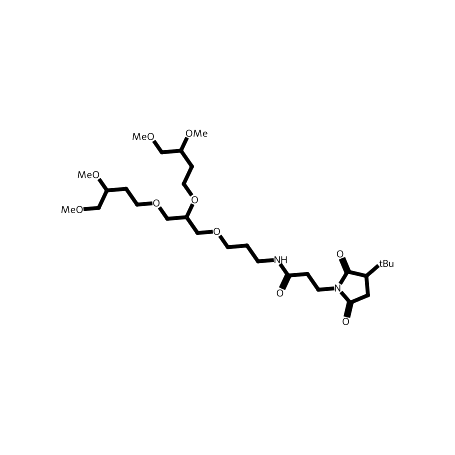 COCC(CCOCC(COCCCNC(=O)CCN1C(=O)CC(C(C)(C)C)C1=O)OCCC(COC)OC)OC